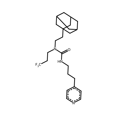 O=C(NCCCc1ccncc1)N(CCC(F)(F)F)CCC12CC3CC(CC(C3)C1)C2